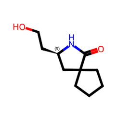 O=C1N[C@H](CCO)CC12CCCC2